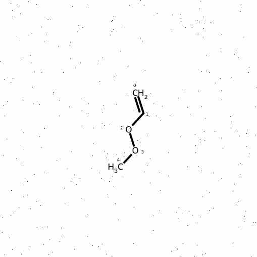 C=COOC